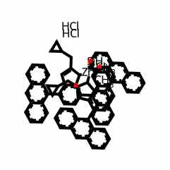 Cl.Cl.[CH3][Zr]([CH3])(=[SiH2])([CH]1C(CC2CC2)=Cc2c(-c3c4ccccc4cc4ccccc34)ccc(-c3c4ccccc4cc4ccccc34)c21)[CH]1C(CC2CC2)=Cc2c(-c3c4ccccc4cc4ccccc34)ccc(-c3c4ccccc4cc4ccccc34)c21